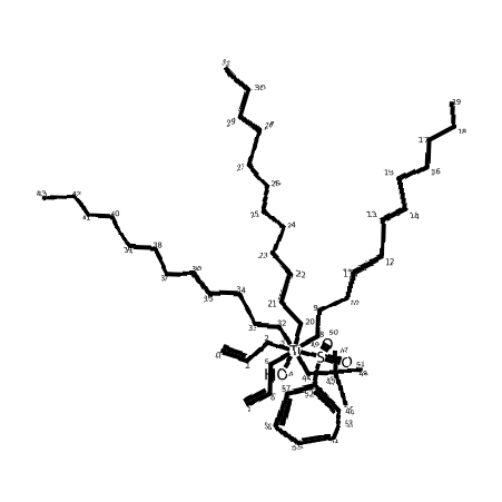 C=C[CH2][Ti]([OH])([CH2]C=C)([CH2]CCCCCCCCCCC)([CH2]CCCCCCCCCCC)([CH2]CCCCCCCCCCC)([CH2]C(C)(C)C)[S](=O)(=O)c1ccccc1